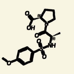 COc1ccc(S(=O)(=O)N[C@@H](C)C(=O)N2CCC[C@H]2C(=O)O)cc1